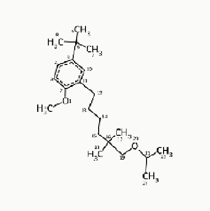 COc1ccc(C(C)(C)C)cc1CCCCC(C)(C)COC(C)C